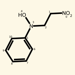 O=[N+]([O-])CCN(O)c1ccccc1